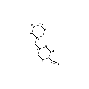 CN1CCC(CC2CCOCC2)CC1